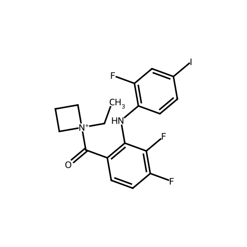 CC[N+]1(C(=O)c2ccc(F)c(F)c2Nc2ccc(I)cc2F)CCC1